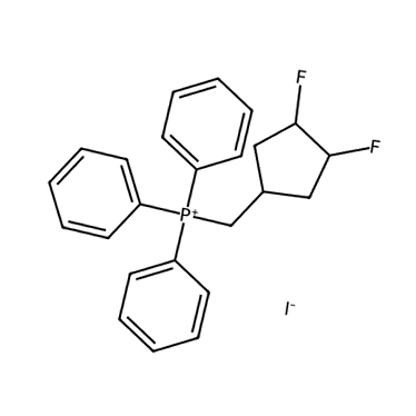 FC1CC(C[P+](c2ccccc2)(c2ccccc2)c2ccccc2)CC1F.[I-]